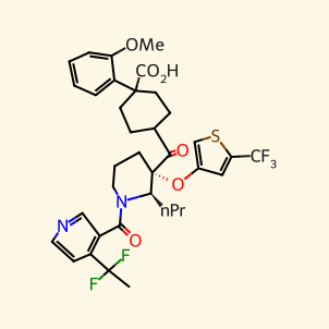 CCC[C@H]1N(C(=O)c2cnccc2C(C)(F)F)CCC[C@@]1(Oc1csc(C(F)(F)F)c1)C(=O)C1CCC(C(=O)O)(c2ccccc2OC)CC1